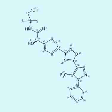 CC(C)(CO)NC(=O)[C@H](O)c1ccc(-c2noc(-c3cnn(-c4ccccc4)c3C(F)(F)F)n2)cc1